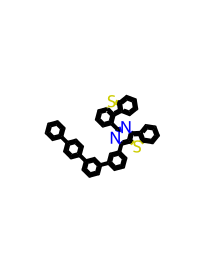 c1ccc(-c2ccc(-c3cccc(-c4cccc(-c5nc(-c6cccc7sc8ccccc8c67)nc6c5sc5ccccc56)c4)c3)cc2)cc1